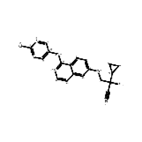 N#CC(F)(COc1ccc2c(Nc3cnc(Cl)nc3)nccc2c1)C1CC1